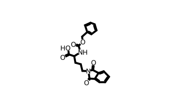 O=C(NC(CCCN1C(=O)c2ccccc2C1=O)C(=O)O)OCc1ccccc1